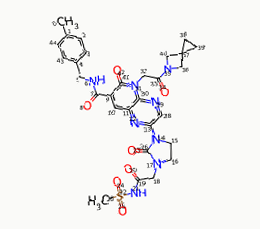 Cc1ccc(CNC(=O)c2cc3nc(N4CCN(CC(=O)NS(C)(=O)=O)C4=O)cnc3n(CC(=O)N3CC4(CC4)C3)c2=O)cc1